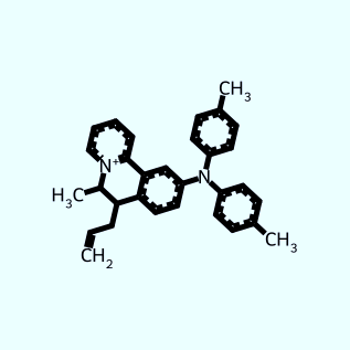 C=CCC1c2ccc(N(c3ccc(C)cc3)c3ccc(C)cc3)cc2-c2cccc[n+]2C1C